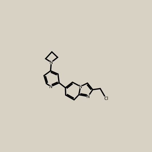 ClCc1cn2cc(-c3cc(N4CCC4)ccn3)ccc2n1